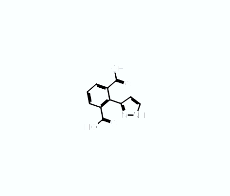 O=C(O)c1cccc(C(=O)O)c1-c1cc[nH]n1